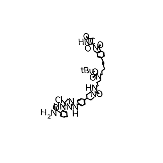 CC(C)(C)OC(=O)N(CCCC#Cc1ccc2c(c1)CN(C1CCC(=O)NC1=O)C2=O)CCCNC(=O)N1CCC(c2ccc(Nc3ncc(Cl)c(Nc4ccccc4C(N)=O)n3)cc2)CC1